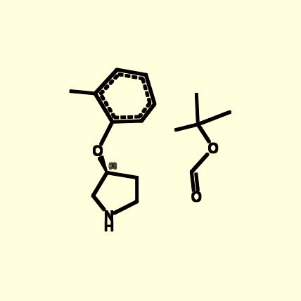 CC(C)(C)OC=O.Cc1ccccc1O[C@H]1CCNC1